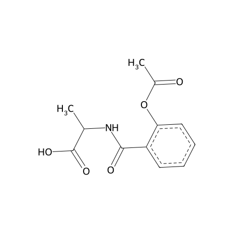 CC(=O)Oc1ccccc1C(=O)NC(C)C(=O)O